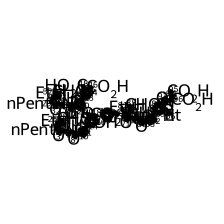 CCCCC[C@@H](C(=O)NCNC(=O)c1ccc(-c2cc(O)c(C(=O)O)c(OCC)c2)o1)[C@@H](CC)N(O)C=O.CCCCC[C@@H](C(=O)NCNC(=O)c1ccc(-c2ccc(C(=O)O)c(C(=O)O)c2)o1)[C@@H](CC)N(O)C=O.CCOc1cc(-c2ccc(C(=O)NCNC(=O)[C@H](CCc3ccccc3)[C@@H](CC)N(O)C=O)o2)ccc1C(=O)N[C@@H](CC(=O)O)C(=O)O